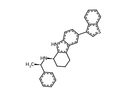 C[C@@H](N[C@@H]1CCCc2c1[nH]c1ccc(-c3csc4ccccc34)cc21)c1ccccc1